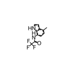 Cc1ccc(NC(=O)C(F)(F)F)c2[nH]ccc12